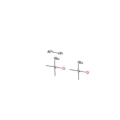 CC(C)(C)[Si](C)(C)[O-].CC(C)(C)[Si](C)(C)[O-].CC[CH2][Al+2]